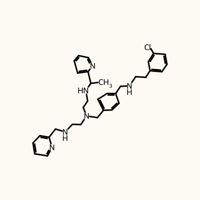 CC(NCCN(CCNCc1ccccn1)Cc1ccc(CNCCc2cccc(Cl)c2)cc1)c1ccccn1